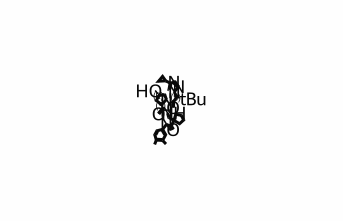 Cc1ccc(NC(=O)C2(CNC(=O)[C@@H]3C[C@@H](O)CN3C(=O)[C@@H](n3cc(C4CC4)nn3)C(C)(C)C)CCCC2)cc1C